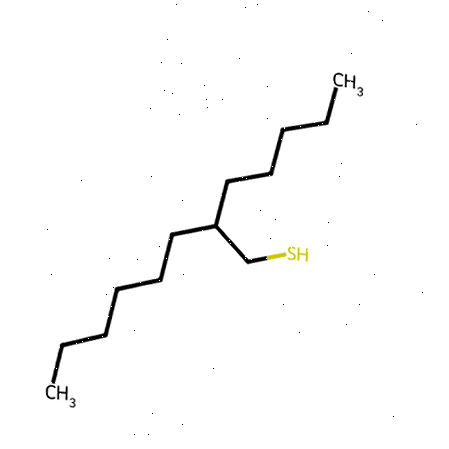 CCCCCCC(CS)CCCCC